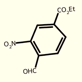 CCOC(=O)c1ccc(C=O)c([N+](=O)[O-])c1